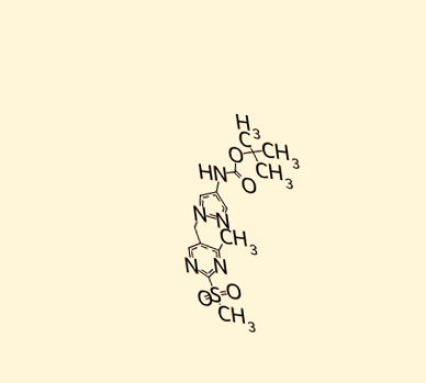 Cc1nc(S(C)(=O)=O)ncc1Cn1cc(NC(=O)OC(C)(C)C)cn1